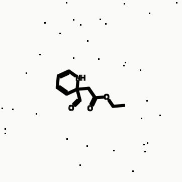 CCOC(=O)CC1(C=O)C=CC=CN1